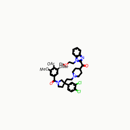 CCOCCn1c(C(=O)C2CCN(CCC3(c4ccc(Cl)c(Cl)c4)CCN(C(=O)c4cc(OC)c(OC(C)=O)c(OC)c4)C3)CC2)nc2ccccc21